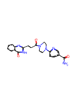 NC(=O)c1ccc(N2CCN(C(=O)CCc3nc4ccccc4c(=O)[nH]3)CC2)nc1